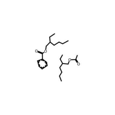 CCCCC(CC)COC(=O)c1ccccc1.CCCCC(CC)COC(C)=O